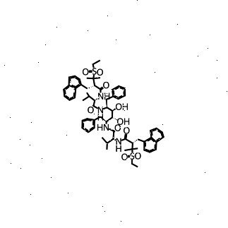 CCS(=O)(=O)C(C)(C)[C@@H](Cc1cccc2ccccc12)C(=O)N[C@H](C(=O)N[C@@H](Cc1ccccc1)[C@@H](O)[C@H](O)[C@H](Cc1ccccc1)NC(=O)[C@@H](NC(=O)[C@H](Cc1cccc2ccccc12)C(C)(C)S(=O)(=O)CC)C(C)C)C(C)C